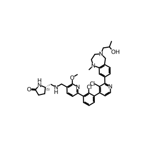 COc1nc(-c2cccc(-c3ccnc(-c4ccc5c(c4)N(C)CCN(CC(C)O)C5)c3Cl)c2Cl)ccc1CNC[C@@H]1CCC(=O)N1